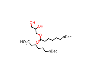 CCCCCCCCCCCCCCCC(=O)O.CCCCCCCCCCCCCCCC(=O)OCC(O)CO